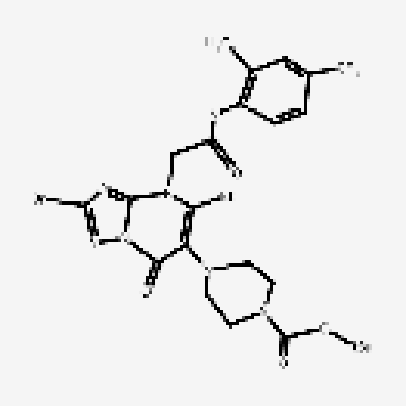 CCc1c(N2CCN(C(=O)OC(C)(C)C)CC2)c(=O)n2nc(Br)nc2n1CC(=O)Nc1ccc(C(F)(F)F)cc1C